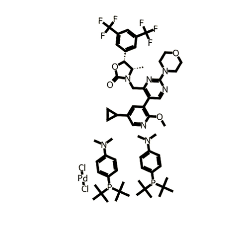 CN(C)c1ccc(P(C(C)(C)C)C(C)(C)C)cc1.CN(C)c1ccc(P(C(C)(C)C)C(C)(C)C)cc1.COc1ncc(C2CC2)cc1-c1cnc(N2CCOCC2)nc1CN1C(=O)O[C@H](c2cc(C(F)(F)F)cc(C(F)(F)F)c2)[C@@H]1C.[Cl][Pd][Cl]